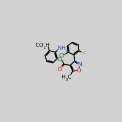 Cc1onc(-c2c(F)cccc2Cl)c1C(=O)Cl.Nc1ccccc1C(=O)O